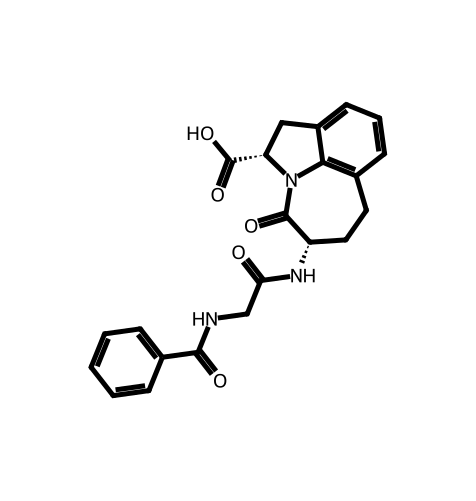 O=C(CNC(=O)c1ccccc1)N[C@H]1CCc2cccc3c2N(C1=O)[C@H](C(=O)O)C3